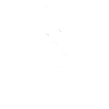 CCCCCCc1ccc(-c2cnc(-c3ccccc3)nc2)cc1